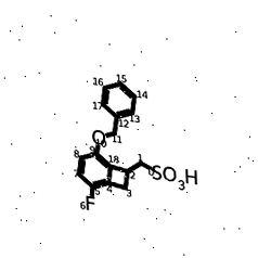 O=S(=O)(O)CC1Cc2c(F)ccc(OCc3ccccc3)c21